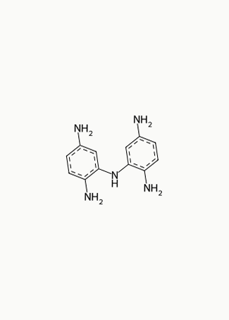 Nc1ccc(N)c(Nc2cc(N)ccc2N)c1